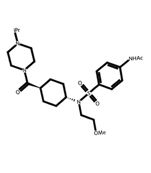 COCCN([C@H]1CC[C@H](C(=O)N2CCN(C(C)C)CC2)CC1)S(=O)(=O)c1ccc(NC(C)=O)cc1